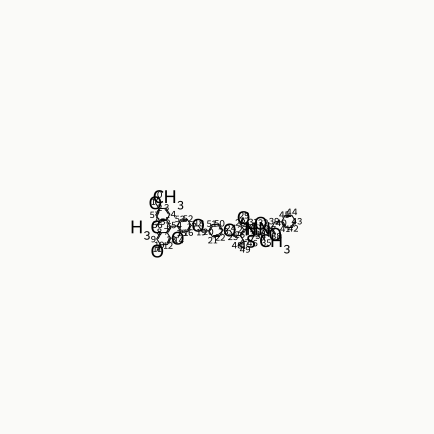 COc1ccc(-c2c3ccc(=O)cc-3oc3cc(OCc4ccc(OCC5=C(C=O)N(C=O)C(C(C)NC(=O)Cc6ccccc6)SC56CC6)cc4)ccc23)c(C)c1